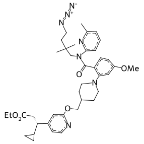 CCOC(=O)C[C@H](c1ccnc(OCC2CCN(c3cc(OC)ccc3C(=O)N(CC(C)(C)CCN=[N+]=[N-])c3cccc(C)n3)CC2)c1)C1CC1